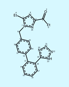 CCC(=O)c1nc(CC)n(Cc2ccc(-c3ccccc3-c3nnn[nH]3)cc2)n1